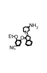 CCOc1cc(C#N)ccc1O[C@@H]1c2ccccc2C[C@H]1N1CCC[C@@H](N)C1